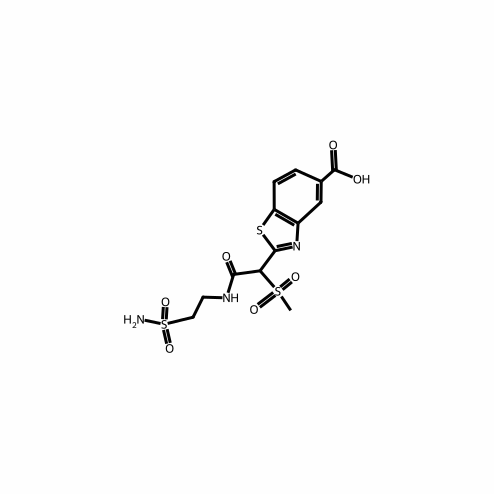 CS(=O)(=O)C(C(=O)NCCS(N)(=O)=O)c1nc2cc(C(=O)O)ccc2s1